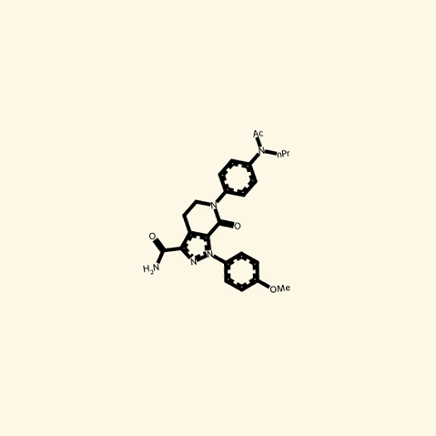 CCCN(C(C)=O)c1ccc(N2CCc3c(C(N)=O)nn(-c4ccc(OC)cc4)c3C2=O)cc1